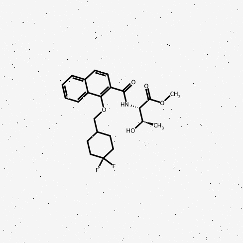 COC(=O)[C@@H](NC(=O)c1ccc2ccccc2c1OCC1CCC(F)(F)CC1)[C@@H](C)O